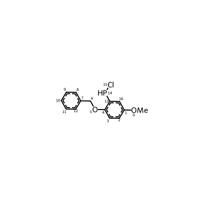 COc1ccc(OCc2ccccc2)c(PCl)c1